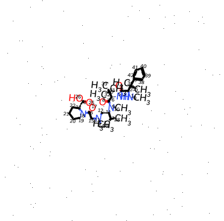 CNC(C(=O)N[C@H](C(=O)N(C)[C@H](CN(C)CC(=O)N1CCCC[C@H]1C(=O)O)C(C)C)C(C)(C)C)C(C)(C)c1ccccc1